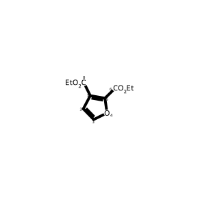 CCOC(=O)c1ccoc1C(=O)OCC